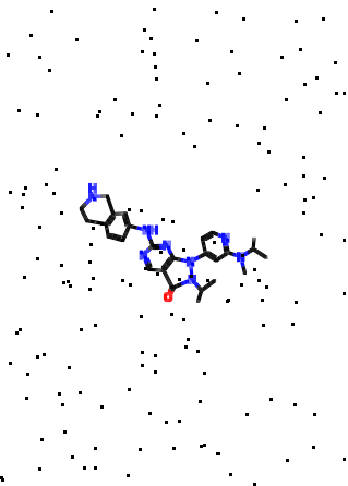 CC(C)N(C)c1cc(-n2c3nc(Nc4ccc5c(c4)CNCC5)ncc3c(=O)n2C(C)C)ccn1